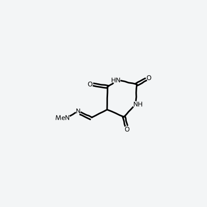 CNN=CC1C(=O)NC(=O)NC1=O